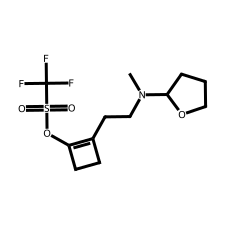 CN(CCC1=C(OS(=O)(=O)C(F)(F)F)CC1)C1CCCO1